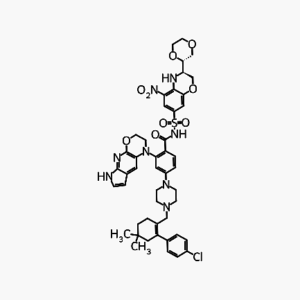 CC1(C)CCC(CN2CCN(c3ccc(C(=O)NS(=O)(=O)c4cc5c(c([N+](=O)[O-])c4)N[C@@H]([C@H]4COCCO4)CO5)c(N4CCOc5nc6[nH]ccc6cc54)c3)CC2)=C(c2ccc(Cl)cc2)C1